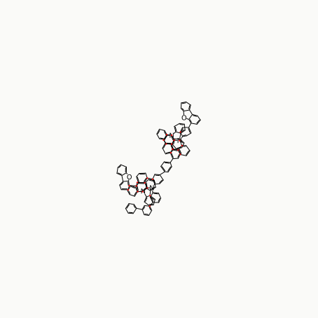 c1ccc(-c2cccc(-c3cccc(N(c4ccc(-c5cccc6c5oc5ccccc56)cc4)c4ccc(-c5ccc(-c6cccc(-c7ccccc7N(c7ccc(-c8cccc9c8oc8ccccc89)cc7)c7ccccc7-c7cccc(-c8ccccc8-n8c9ccccc9c9ccccc98)c7)c6)cc5)cc4-c4cccc(-c5ccccc5-n5c6ccccc6c6ccccc65)c4)c3)c2)cc1